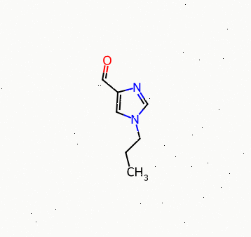 CCCn1cnc(C=O)c1